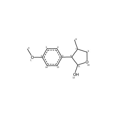 COc1ccc(C2C(C)COC2O)cc1